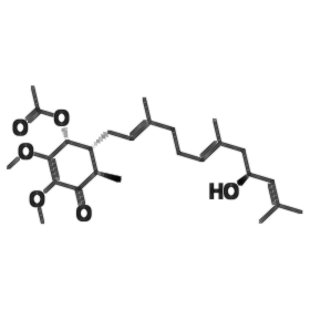 COC1=C(OC)[C@H](OC(C)=O)[C@H](C/C=C(\C)CC/C=C(\C)C[C@H](O)C=C(C)C)[C@@H](C)C1=O